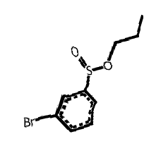 CCCOS(=O)c1cccc(Br)c1